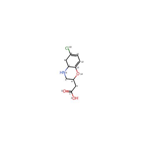 O=C(O)CC1CNC2CC(Cl)=CC=C2O1